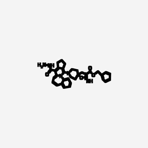 N=COC1(CNC(=O)OCc2ccccc2)CCN(C2=C3CCCC3=C(C(=O)NN)C3=CC=Cc4ccccc4N32)CC1